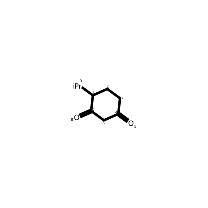 CC(C)C1CCC(=O)CC1=O